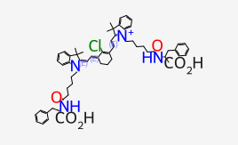 CC1(C)C(/C=C/C2=C(Cl)C(=C/C=C3/N(CCCCCC(=O)NC(Cc4ccccc4)C(=O)O)c4ccccc4C3(C)C)/CCC2)=[N+](CCCCCC(=O)NC(Cc2ccccc2)C(=O)O)c2ccccc21